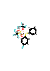 Fc1ccc(Sc2ccccc2)cc1.O=S(=O)(OC(F)(F)F)C(F)(F)F